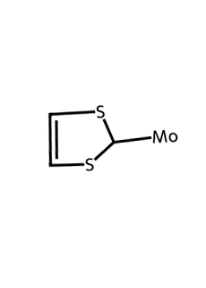 [Mo][CH]1SC=CS1